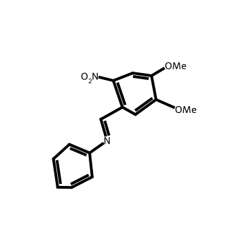 COc1cc(/C=N/c2ccccc2)c([N+](=O)[O-])cc1OC